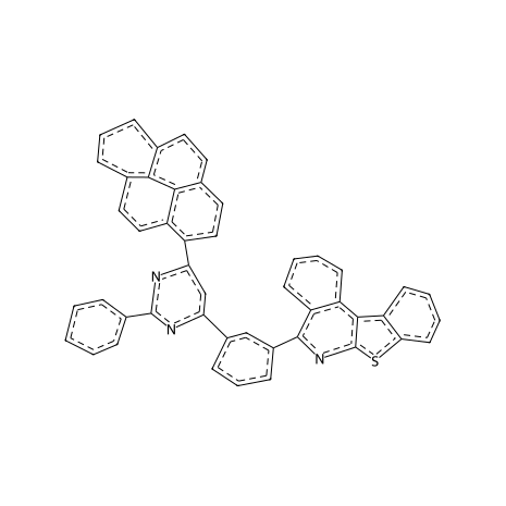 c1ccc(-c2nc(-c3cccc(-c4nc5sc6ccccc6c5c5ccccc45)c3)cc(-c3ccc4ccc5cccc6ccc3c4c56)n2)cc1